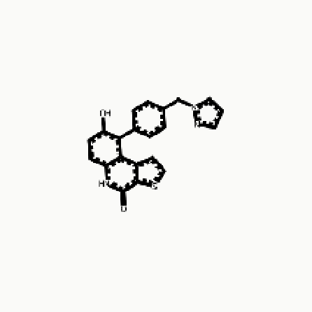 O=c1[nH]c2ccc(O)c(-c3ccc(Cn4cccn4)cc3)c2c2ccsc12